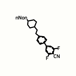 CCCCCCCCCC1CCC(CCc2ccc(-c3cc(F)c(C#N)c(F)c3)cc2)CC1